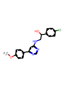 OC(CNc1cc(-c2ccc(OC(F)(F)F)cc2)ncn1)c1ccc(Cl)cc1